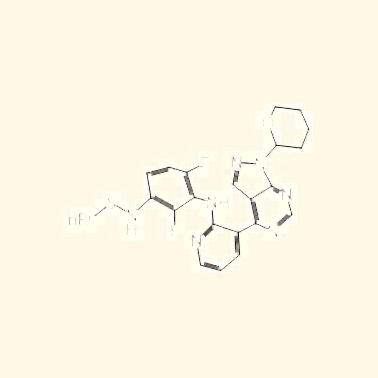 CCCSNc1ccc(F)c(Nc2ncccc2-c2ncnc3c2cnn3C2CCCCO2)c1F